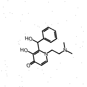 CN(C)CCn1ccc(=O)c(O)c1C(O)c1ccccc1